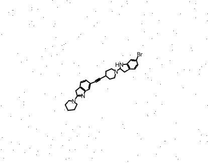 Brc1ccc2c(c1)NC(N1CCC(C#Cc3ccc4c(c3)N=C(N3CCCCC3)C4)CC1)C2